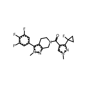 Cn1cc(C(=O)N2CCc3c(nn(C)c3-c3cc(F)c(F)c(F)c3)C2)c(C2(F)CC2)n1